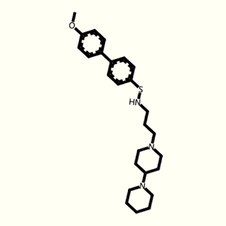 COc1ccc(-c2ccc(SNCCCN3CCC(N4CCCCC4)CC3)cc2)cc1